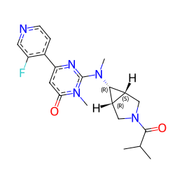 CC(C)C(=O)N1C[C@@H]2[C@H](C1)[C@@H]2N(C)c1nc(-c2ccncc2F)cc(=O)n1C